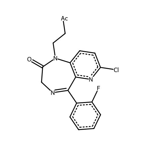 CC(=O)CCN1C(=O)CN=C(c2ccccc2F)c2nc(Cl)ccc21